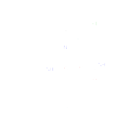 C=C1CCC=C(C(CC)c2ccc(F)cc2)NC1C(=O)N(CC(C)(C)C)C[C@]1(C)OC(=O)Nc2ccc(Cl)c(F)c21